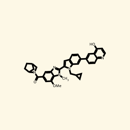 COc1cc(C(=O)N2CC3CCC2C3)cc2nc(-c3cc4ccc(-c5ccc6nccc(O)c6c5)cc4n3CC3CC3)n(C)c12